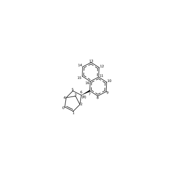 C1=CC2CC1C[C@H]2c1cccc2ccccc12